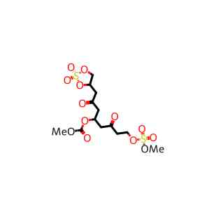 COC(=O)OC(CC(=O)CCOS(=O)(=O)OC)CC(=O)CC1COS(=O)(=O)O1